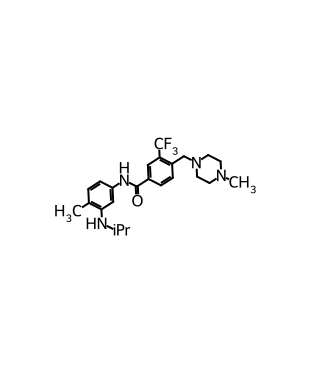 Cc1ccc(NC(=O)c2ccc(CN3CCN(C)CC3)c(C(F)(F)F)c2)cc1NC(C)C